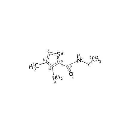 CCNC(=O)c1scc(C)c1N